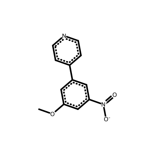 COc1cc(-c2ccncc2)cc([N+](=O)[O-])c1